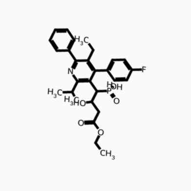 CCOC(=O)CC(O)C(c1c(C(C)C)nc(-c2ccccc2)c(CC)c1-c1ccc(F)cc1)[PH](=O)O